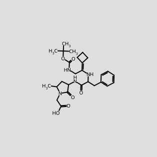 CC1CC(NC(=O)C(Cc2ccccc2)NC(CNC(=O)OC(C)(C)C)=C2CCC2)C(=O)N1CC(=O)O